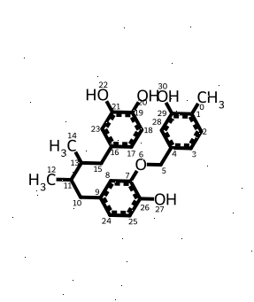 Cc1ccc(COc2cc(CC(C)C(C)Cc3ccc(O)c(O)c3)ccc2O)cc1O